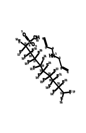 C=CCNCC=C.O=S(=O)(O)C(F)(F)C(F)(F)C(F)(F)C(F)(F)C(F)(F)C(F)(F)C(F)(F)C(F)(F)C(F)F